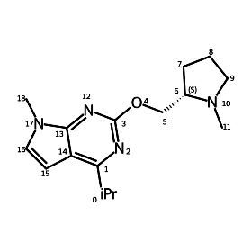 CC(C)c1nc(OC[C@@H]2CCCN2C)nc2c1ccn2C